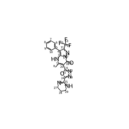 Cc1[nH]c2c(-c3ccccc3)c(C(F)(F)F)nn2c(=O)c1-c1nnc(C2=NCCCN2)o1